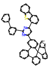 c1ccc(-c2cccc(-c3nc(-c4ccc5c(c4)-c4ccccc4-c4ccccc4C54c5ccccc5-c5ccccc54)cc(-c4cccc5c4sc4ccccc45)n3)c2)cc1